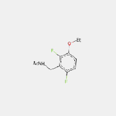 CCOc1ccc(F)c(CNC(C)=O)c1F